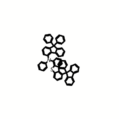 c1ccc(N(c2cccc3c2-c2ccccc2C3(c2ccccc2)c2ccccc2)c2cccc3c2sc2cccc(C4(c5ccccc5)c5ccccc5-c5ccccc54)c23)cc1